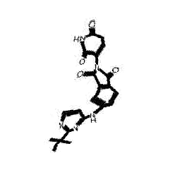 CC(C)(C)c1nccc(Nc2ccc3c(c2)C(=O)N(C2CCC(=O)NC2=O)C3=O)n1